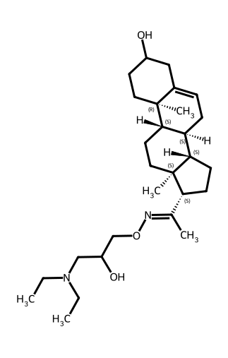 CCN(CC)CC(O)CON=C(C)[C@H]1CC[C@H]2[C@@H]3CC=C4CC(O)CC[C@]4(C)[C@H]3CC[C@]12C